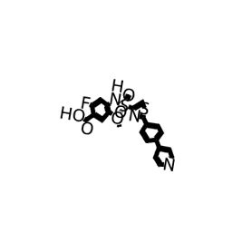 COc1cc(C(=O)O)c(F)cc1NS(=O)(=O)c1csc(-c2ccc(-c3ccncc3)cc2)n1